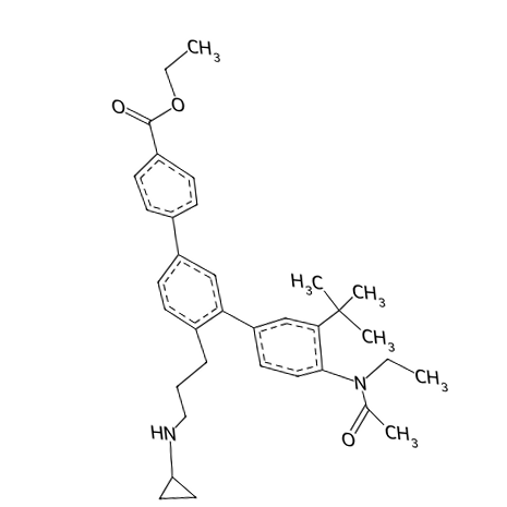 CCOC(=O)c1ccc(-c2ccc(CCCNC3CC3)c(-c3ccc(N(CC)C(C)=O)c(C(C)(C)C)c3)c2)cc1